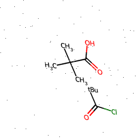 CC(C)(C)C(=O)Cl.CC(C)(C)C(=O)O